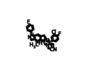 C[C@H]1c2cnn(-c3ccc(F)cc3)c2C=C2CC[C@H](CN(CC#N)S(=O)(=O)c3ccc(F)c(Cl)c3)[C@H]21